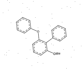 COc1cccc(Oc2ccccc2)c1-c1ccccc1